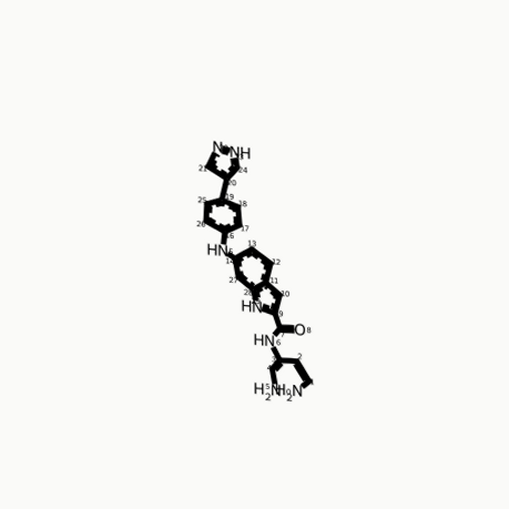 N/C=C\C(=C/N)NC(=O)c1cc2ccc(Nc3ccc(-c4cn[nH]c4)cc3)cc2[nH]1